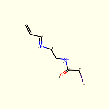 C=C/C=N/CCNC(=O)CI